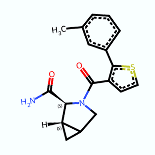 Cc1cccc(-c2sccc2C(=O)N2CC3C[C@@H]3[C@H]2C(N)=O)c1